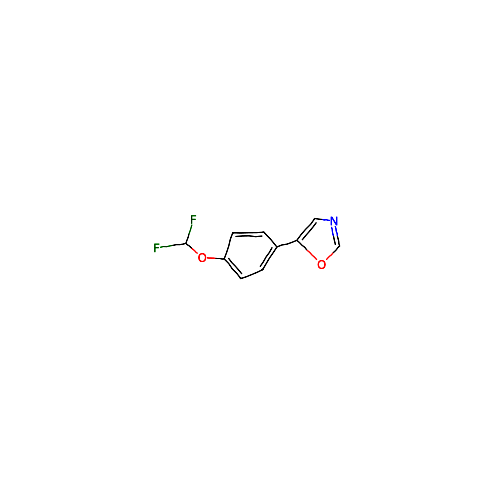 FC(F)Oc1ccc(-c2cnco2)cc1